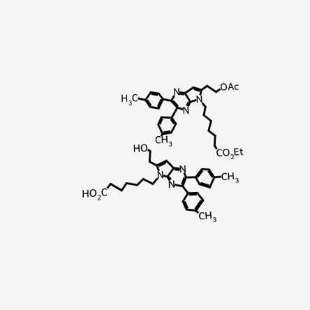 CCOC(=O)CCCCCCn1c(CCOC(C)=O)cc2nc(-c3ccc(C)cc3)c(-c3ccc(C)cc3)nc21.Cc1ccc(-c2nc3cc(CCO)n(CCCCCCC(=O)O)c3nc2-c2ccc(C)cc2)cc1